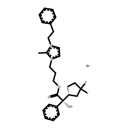 Cc1n(CCCOC(=O)[C@](O)(c2ccccc2)[C@@H]2CCC(F)(F)C2)cc[n+]1CCc1ccccc1.[Br-]